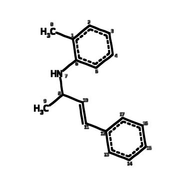 Cc1ccccc1NC(C)C=Cc1ccccc1